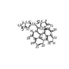 Cc1cc2sc(-c3sc4cc(C)sc4c3-c3cc(C)c4ccccc4c3-c3ccc(C)c4ccccc34)cc2s1